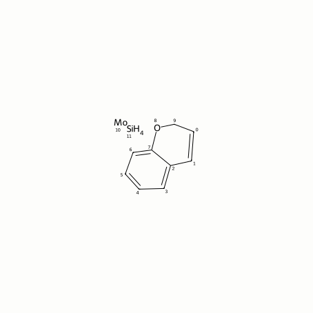 C1=Cc2ccccc2OC1.[Mo].[SiH4]